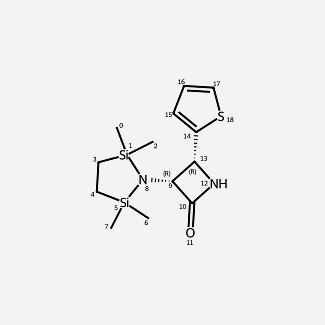 C[Si]1(C)CC[Si](C)(C)N1[C@H]1C(=O)N[C@H]1c1cccs1